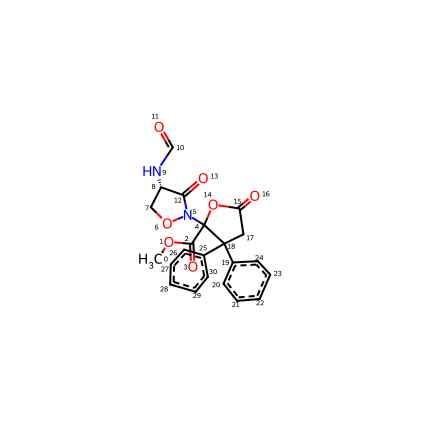 COC(=O)C1(N2OC[C@H](NC=O)C2=O)OC(=O)CC1(c1ccccc1)c1ccccc1